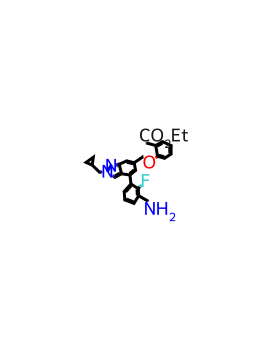 CCOC(=O)Cc1ccccc1OCc1cc(-c2cccc(CN)c2F)c2cn(CC3CC3)nc2c1